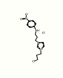 O=[N+]([O-])c1ccc(NCCCn2cc[n+](CCCCl)c2)cc1.[Cl-]